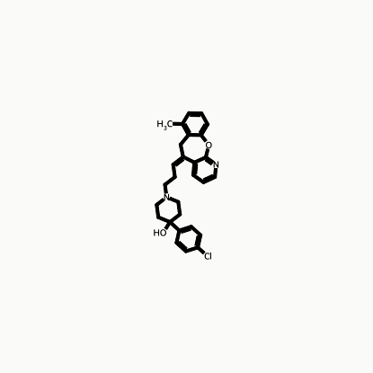 Cc1cccc2c1C/C(=C/CCN1CCC(O)(c3ccc(Cl)cc3)CC1)c1cccnc1O2